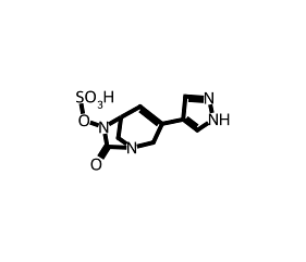 O=C1N2CC(c3cn[nH]c3)=CC(C2)N1OS(=O)(=O)O